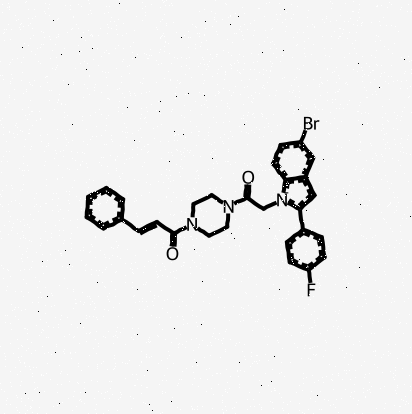 O=C(/C=C/c1ccccc1)N1CCN(C(=O)Cn2c(-c3ccc(F)cc3)cc3cc(Br)ccc32)CC1